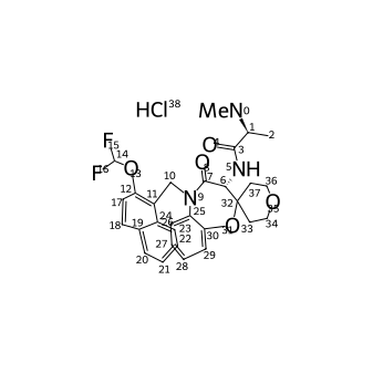 CN[C@@H](C)C(=O)N[C@H]1C(=O)N(Cc2c(OC(F)F)ccc3ccccc23)c2ccccc2OC12CCOCC2.Cl